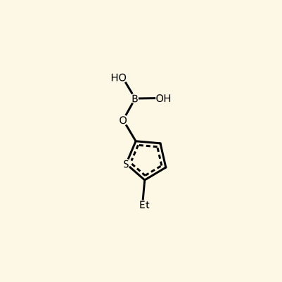 CCc1ccc(OB(O)O)s1